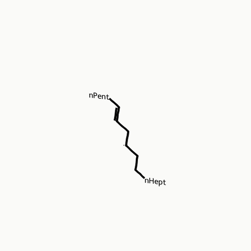 CCCCCC=CC[CH]CCCCCCCCC